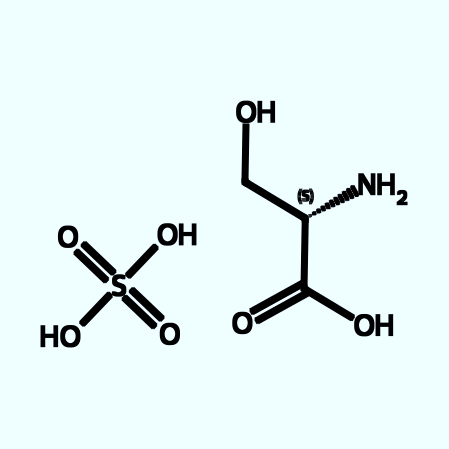 N[C@@H](CO)C(=O)O.O=S(=O)(O)O